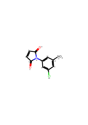 O=C1C=CC(=O)N1c1cc(Cl)cc([N+](=O)[O-])c1